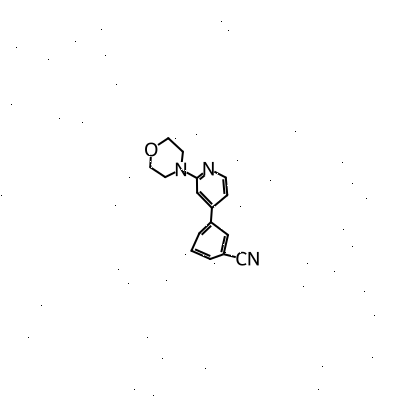 N#Cc1cccc(-c2ccnc(N3CCOCC3)c2)c1